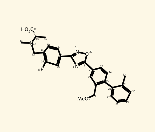 COCc1cc(-c2nc(-c3ccc(CN(C)[C@@H](C)C(=O)O)c(F)c3)no2)ccc1-c1ccccc1C